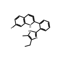 CCc1nc(-c2ccccc2C2=C=Cc3ccc(F)cc3N2)[nH]c1C